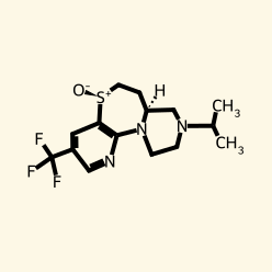 CC(C)N1CCN2c3ncc(C(F)(F)F)cc3[S@@+]([O-])CC[C@H]2C1